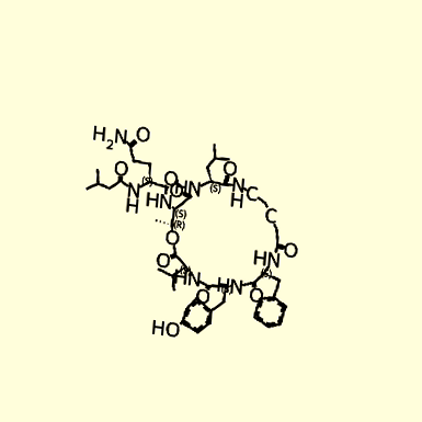 CC(C)CC(=O)N[C@@H](CCC(N)=O)C(=O)N[C@@H]1C(=O)N[C@@H](CC(C)C)C(=O)NCCCCC(=O)N[C@@H](Cc2ccccc2)C(=O)N[C@@H](Cc2ccc(O)cc2)C(=O)N[C@@H](C(C)C)C(=O)O[C@@H]1C